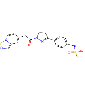 CS(=O)(=O)Nc1ccc(C2=NN(C(=O)CC3=CC4=CNSN4C=C3)CC2)cc1